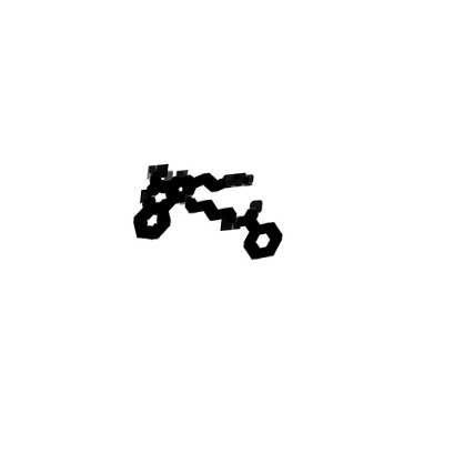 COCCc1nc2c(N)nc3ccccc3c2n1CCCCNC(=O)C1CCCCC1